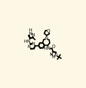 Cc1n[nH]cc1Nc1nccc(-c2ccc3c(c2)CN(C2CCOC2)CCC3NC(=O)c2cn(C(C)(C)C)nn2)n1